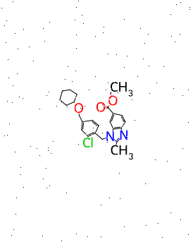 CCOC(=O)c1ccc2nc(C)n(Cc3ccc(COC4CCCCC4)cc3Cl)c2c1